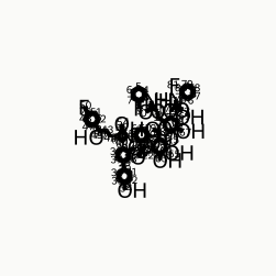 O=C(Nc1ccccc1F)OCC1O[C@@H](O[C@@H]2C(CO)O[C@@H](CS(=O)(=O)Oc3cc(-c4ccc(O)cc4)ccc3[C@@H]3[C@@H](CC[C@H](O)c4ccc(F)cc4)C(=O)N3c3ccccc3)C(O)[C@H]2O)C(O)[C@@H](O)[C@@H]1OC(=O)Nc1ccccc1F